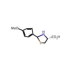 COc1ccc(C2N[C@H](C(=O)O)CS2)cc1